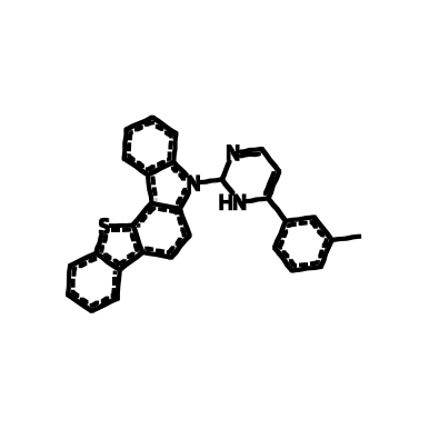 Cc1cccc(C2=CC=NC(n3c4ccccc4c4c5sc6ccccc6c5ccc43)N2)c1